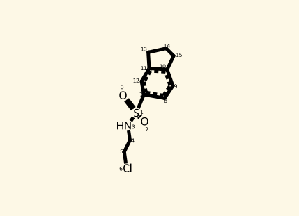 O=S(=O)(NCCCl)c1ccc2c(c1)CCC2